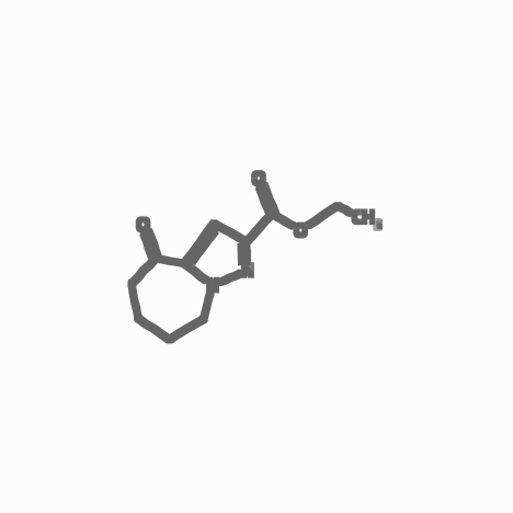 CCOC(=O)c1cc2n(n1)CCCCC2=O